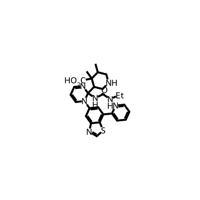 CCNC(=O)NC1(C2CNCC(C)C2(C)C(=O)O)N=CC=CN1c1cc(-c2ccccn2)c2scnc2c1